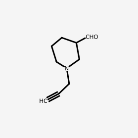 C#CCN1CCCC(C=O)C1